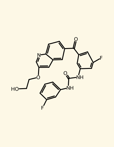 O=C(Nc1cccc(F)c1)Nc1cc(F)cc(C(=O)c2ccc3ncc(OCCO)cc3c2)c1